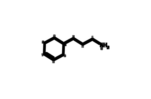 NCCCC1CC=CCC1